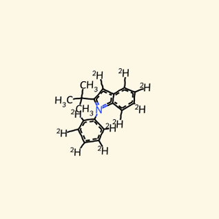 [2H]c1c([2H])c([2H])c(-n2c(C(C)(C)C)c([2H])c3c([2H])c([2H])c([2H])c([2H])c32)c([2H])c1[2H]